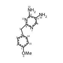 COc1ccc(Cc2ncc(N)c(N)n2)cc1